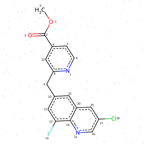 COC(=O)c1ccnc(Cc2cc(F)c3ncc(Cl)cc3c2)c1